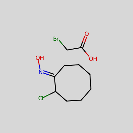 O=C(O)CBr.ON=C1CCCCCCC1Cl